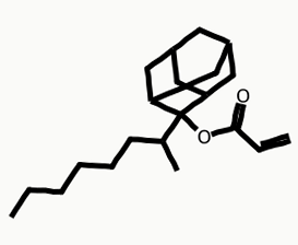 C=CC(=O)OC1(C(C)CCCCCC)C2CC3CC(C2)CC1C3